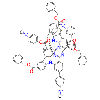 [C-]#[N+]c1ccc(-c2ccc(-c3nc(-c4cccc(-c5cccc([N+]#[C-])c5)c4)nc(-c4ccc(-c5ccc([N+]#[C-])cc5)cc4-n4c5ccc(C(=O)OCc6ccccc6)cc5c5cc(C(=O)OCc6ccccc6)ccc54)n3)c(-n3c4ccc(C(=O)OCc5ccccc5)cc4c4cc(C(=O)OCc5ccccc5)ccc43)c2)cc1